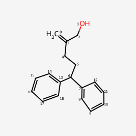 C=C(CO)CCC(c1ccccc1)c1ccccc1